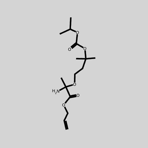 C=CCOC(=O)C(C)(N)OCCC(C)(C)OC(=O)OC(C)C